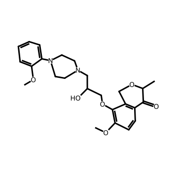 COc1ccccc1N1CCN(CC(O)COc2c(OC)ccc3c2COC(C)C3=O)CC1